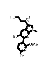 CCc1cc2c([C@@H](CC)CCO)cn(C)c2nc1-c1ccc(C(C)C)nc1OC